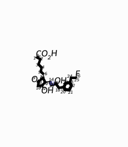 O=C(O)CCCCCC[C@H]1C(=O)C[C@@H](O)[C@@H]1/C=C/[C@H](O)Cc1cccc(CCF)c1